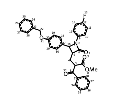 COC(=O)C(CC1C(=O)N(c2ccc(F)cc2)C1c1ccc(OCc2ccccc2)cc1)C(=O)c1ccccc1